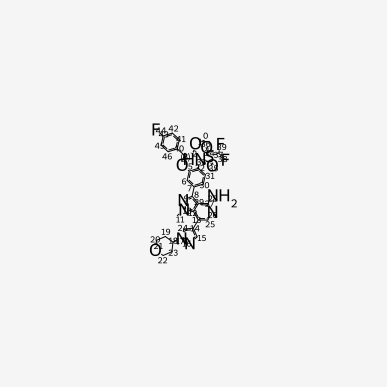 COC[C@H](Oc1cc(-c2nn(C)c3c(-c4cnn(C5CCOCC5)c4)cnc(N)c23)ccc1NS(=O)(=O)C(F)F)c1ccc(F)cc1